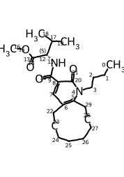 CCCCn1c2c(cc(C(=O)N[C@H](C(=O)OC)C(C)C)c1=O)CCCCCCCC2